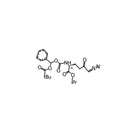 CC(C)OC(=O)[C@H](CCC(=O)C=[N+]=[N-])NC(=O)OC(OC(=O)C(C)(C)C)c1ccccc1